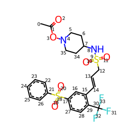 CC(=O)ON1CCC(NS(=O)(=O)CC=Cc2cc(S(=O)(=O)c3ccccc3)ccc2C(F)(F)F)CC1